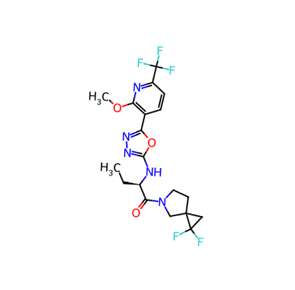 CC[C@@H](Nc1nnc(-c2ccc(C(F)(F)F)nc2OC)o1)C(=O)N1CCC2(C1)CC2(F)F